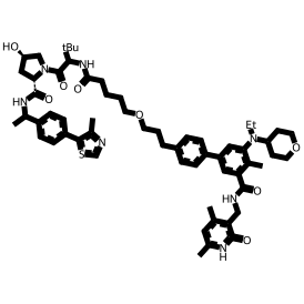 CCN(c1cc(-c2ccc(CCCOCCCCC(=O)NC(C(=O)N3C[C@H](O)C[C@H]3C(=O)NC(C)c3ccc(-c4scnc4C)cc3)C(C)(C)C)cc2)cc(C(=O)NCc2c(C)cc(C)[nH]c2=O)c1C)C1CCOCC1